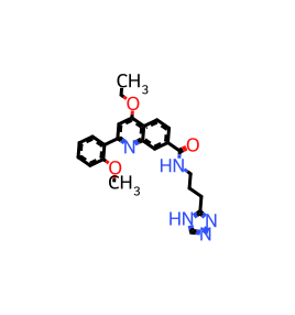 CCOc1cc(-c2ccccc2OC)nc2cc(C(=O)NCCCc3nnc[nH]3)ccc12